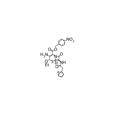 CCOC1S[C@H]2[C@H](NC(=O)Cc3cccs3)C(=O)N2C(C(=O)OCc2ccc([N+](=O)[O-])cc2)=C1N